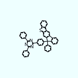 c1ccc(-c2nc(-c3ccccc3)nc(-c3ccc(C4(c5ccccc5)c5ccccc5-c5cc6c(cc54)sc4ccccc46)cc3)n2)cc1